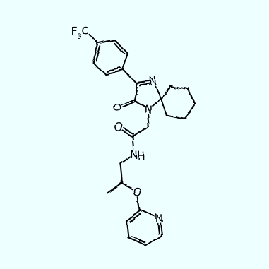 CC(CNC(=O)CN1C(=O)C(c2ccc(C(F)(F)F)cc2)=NC12CCCCC2)Oc1ccccn1